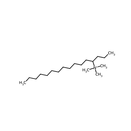 CCCCCCCCCCCCC(CCC)[N+](C)(C)C